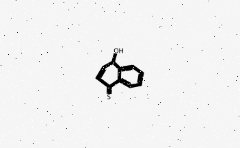 OC1C=CC(=S)c2ccccc21